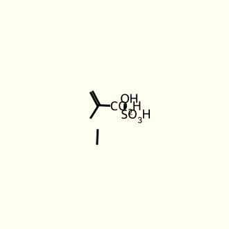 C=C(C)C(=O)O.CC.O=S(=O)(O)O